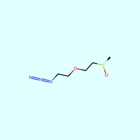 C[S@@+]([O-])CCOCCN=[N+]=[N-]